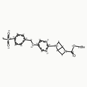 CC(C)(C)OC(=O)N1CC2C1CN2c1ncc(OCc2ccc(S(C)(=O)=O)cc2)cn1